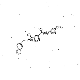 Cn1cc(CNC(=O)c2cc(C(=O)NCc3ccc4c(c3)CCO4)ncn2)cn1